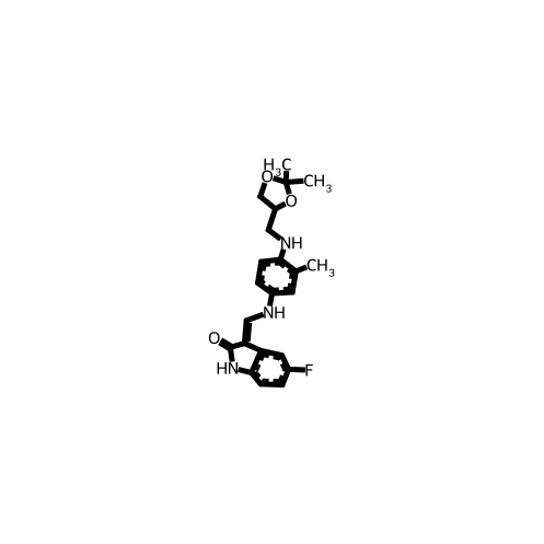 Cc1cc(N/C=C2/C(=O)Nc3ccc(F)cc32)ccc1NCC1COC(C)(C)O1